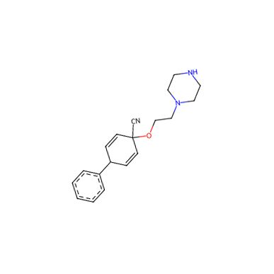 N#CC1(OCCN2CCNCC2)C=CC(c2ccccc2)C=C1